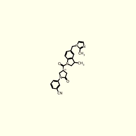 Cc1nccn1Cc1ccc2c(c1)C(C)CN2C(=O)[C@H]1CC(=O)N(c2cccc(C#N)c2)C1